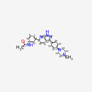 CC(=O)Nc1cccc(-c2ccc3c(-c4ccc(N5CCN(C)CC5)cc4)n[nH]c3n2)c1